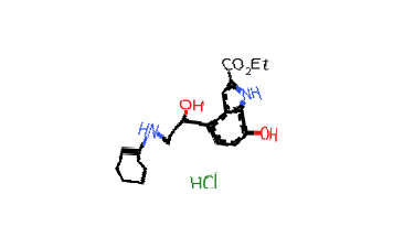 CCOC(=O)c1cc2c(C(O)CNC3CCCCC3)ccc(O)c2[nH]1.Cl